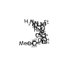 CCO/N=C(\C(=O)NC1C(=O)N2C(C(=O)OCc3ccc(OC)cc3)=C(CCl)CS[C@H]12)c1nsc(N)n1